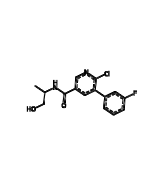 CC(CO)NC(=O)c1cnc(Cl)c(-c2cccc(F)c2)c1